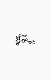 COc1cc2c(-c3ccc(OCCOC4CCOC4)cc3)cc(=O)n(C)c2cn1